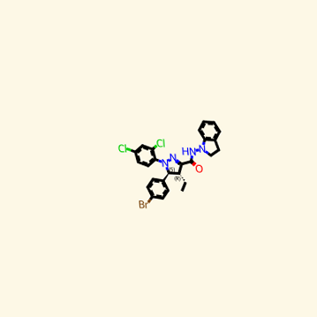 CC[C@H]1C(C(=O)NN2CCc3ccccc32)=NN(c2ccc(Cl)cc2Cl)[C@@H]1c1ccc(Br)cc1